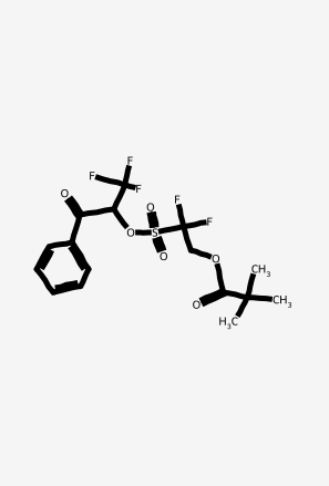 CC(C)(C)C(=O)OCC(F)(F)S(=O)(=O)OC(C(=O)c1ccccc1)C(F)(F)F